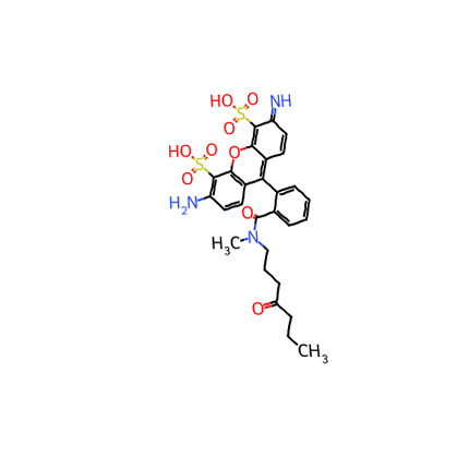 CCCC(=O)CCCN(C)C(=O)c1ccccc1-c1c2ccc(=N)c(S(=O)(=O)O)c-2oc2c(S(=O)(=O)O)c(N)ccc12